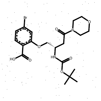 CC(C)(C)OC(=O)N[C@H](COc1cc(Br)ccc1C(=O)O)CC(=O)N1CCOCC1